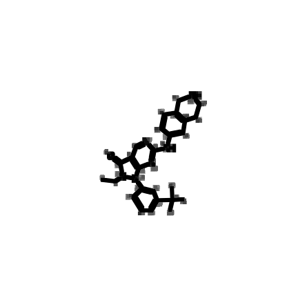 CCn1c(=O)c2cnc(Nc3ccc4c(c3)CCNC4)nc2n1-c1cccc(C(C)(C)C)c1